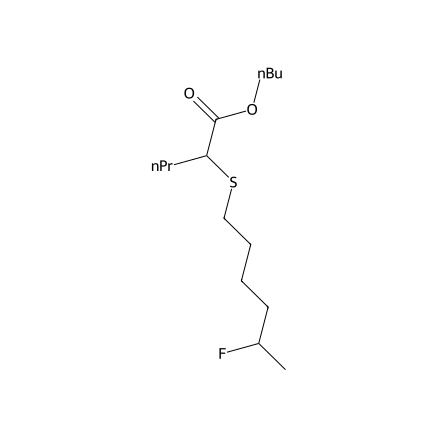 CCCCOC(=O)C(CCC)SCCCCC(C)F